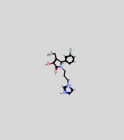 CCC1=C(O)C(=O)N(CCCn2ccnc2)C1c1cccc(Cl)c1